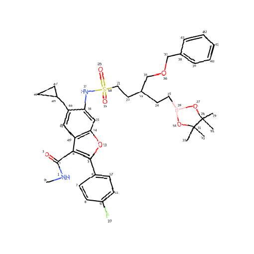 CNC(=O)c1c(-c2ccc(F)cc2)oc2cc(NS(=O)(=O)CCC(CCB3OC(C)(C)C(C)(C)O3)COCc3ccccc3)c(C3CC3)cc12